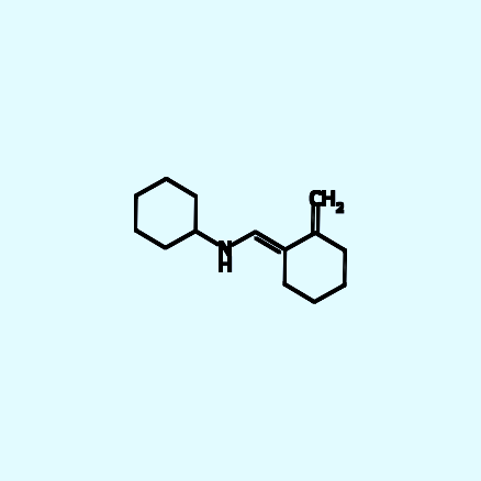 C=C1CCCCC1=CNC1CCCCC1